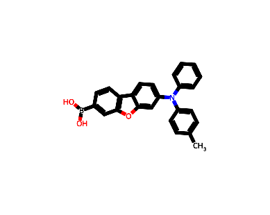 Cc1ccc(N(c2ccccc2)c2ccc3c(c2)oc2cc(B(O)O)ccc23)cc1